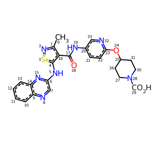 Cc1nsc(Nc2cnc3ccccc3n2)c1C(=O)Nc1ccc(OC2CCN(C(=O)O)CC2)nc1